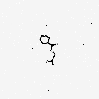 O=C(OCC(F)F)C1CCCCC1